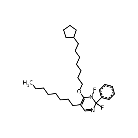 CCCCCCCCC1=C(OCCCCCCCC2CCCC2)N(F)C(F)(c2ccccc2)N=C1